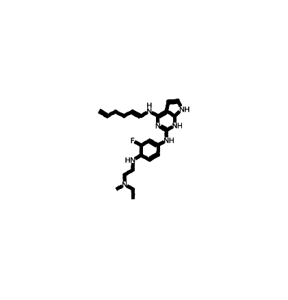 C=CCC/C=C/NC1=C2C=CNC2NC(NC2=CC(F)C(NCCN(C)CC)C=C2)=N1